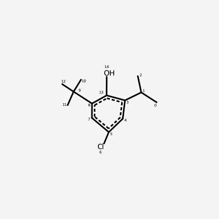 CC(C)c1cc(Cl)cc(C(C)(C)C)c1O